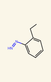 CCc1ccccc1N=N